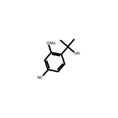 CCCC(C)(C)c1ccc(C#N)cc1OC